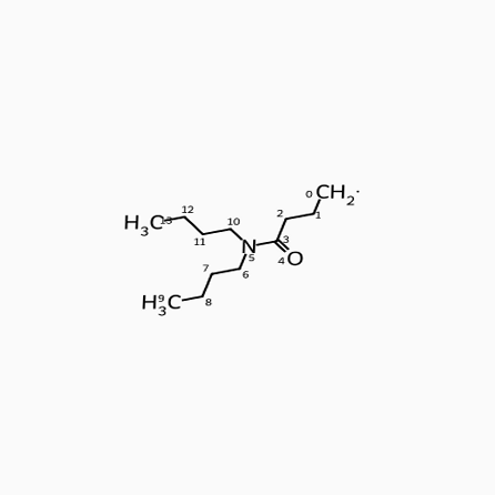 [CH2]CCC(=O)N(CCCC)CCCC